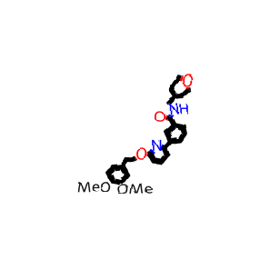 COc1ccc(CCOc2cccc(-c3cccc(C(=O)NCC4CCOCC4)c3)n2)cc1OC